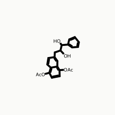 CC(=O)Oc1ccc(OC(C)=O)c2cc(CC(O)C(O)c3ccccc3)ccc12